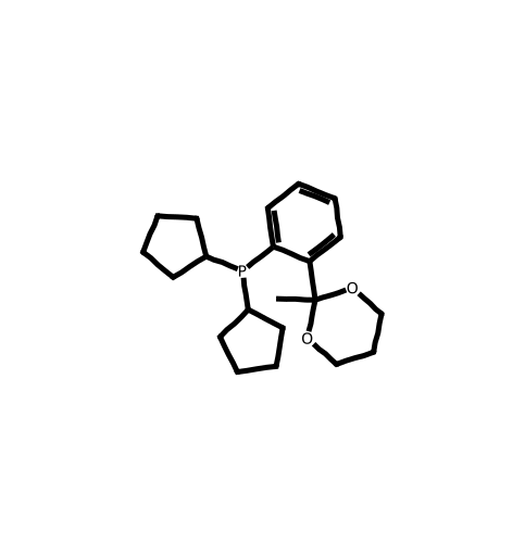 CC1(c2ccccc2P(C2CCCC2)C2CCCC2)OCCCO1